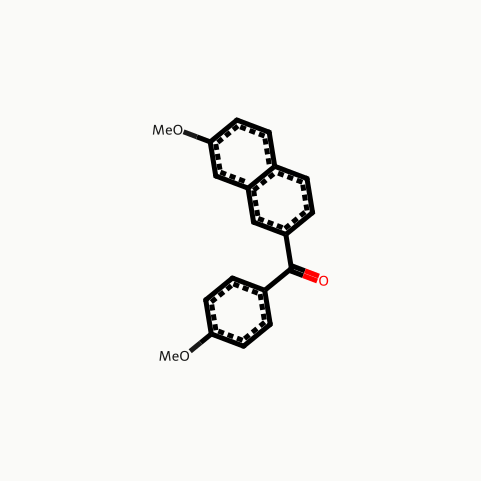 COc1ccc(C(=O)c2ccc3ccc(OC)cc3c2)cc1